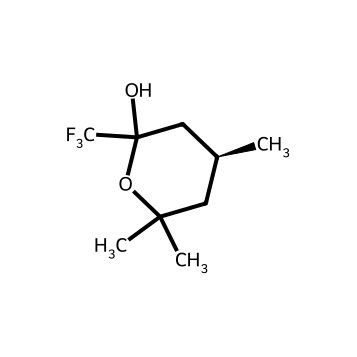 C[C@H]1CC(C)(C)OC(O)(C(F)(F)F)C1